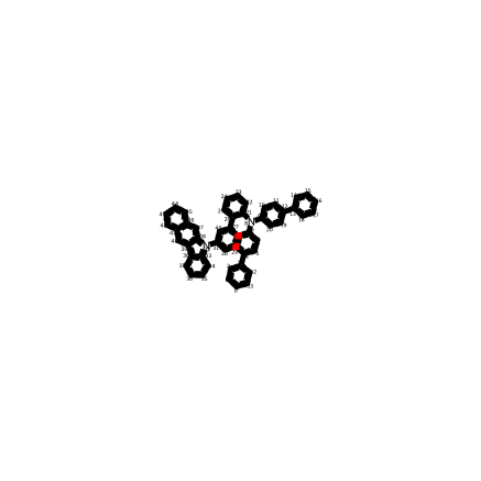 c1ccc(-c2ccc(N(c3ccc(-c4ccccc4)cc3)c3ccccc3-c3cccc(-n4c5ccccc5c5cc6ccccc6cc54)c3)cc2)cc1